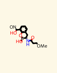 COCCC(=O)N[C@H]1Cc2cccc(C(O)N=O)c2OB1O